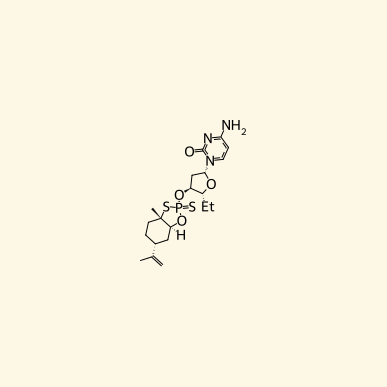 C=C(C)[C@@H]1CC[C@]2(C)S[P@](=S)(O[C@H]3C[C@H](n4ccc(N)nc4=O)O[C@@H]3CC)O[C@H]2C1